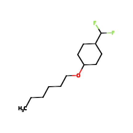 CCCCCCOC1CCC(C(F)F)CC1